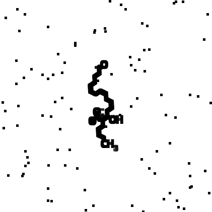 CC/C=C\CC(C(O)C/C=C\C/C=C\C/C=C\CCC[C]=O)[N+](=O)[O-]